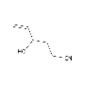 C=CC(O)CCC#N